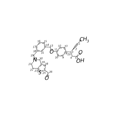 CC#C[C@@H](CC(=O)O)c1ccc(OCc2cccc(CN3CCc4sc(C=O)cc4C3)c2)cc1